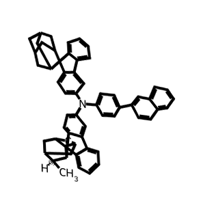 C[C@H]1C2CC3CC(C2)C2(c4ccccc4-c4cc(N(c5ccc(-c6ccc7ccccc7c6)cc5)c5ccc6c(c5)-c5ccccc5C65C6CC7CC(C6)CC5C7)ccc42)C1C3